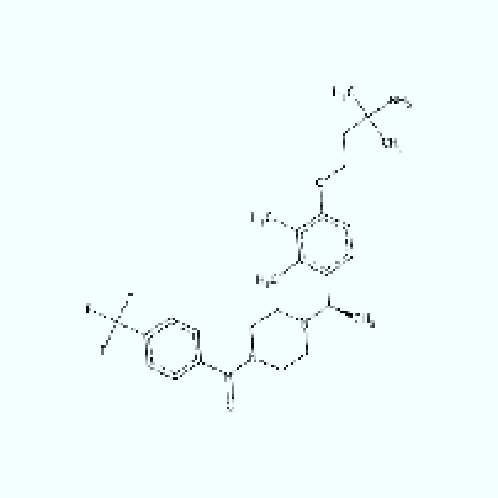 Cc1c(OCCC(C)(C)N)ccc([C@@H](C)N2CCN(C(=O)c3ccc(C(F)(F)F)cc3)CC2)c1C